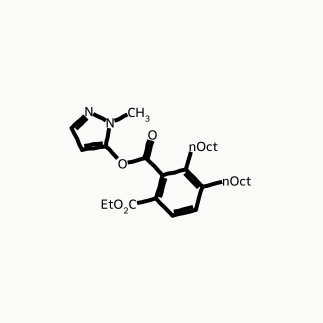 CCCCCCCCc1ccc(C(=O)OCC)c(C(=O)Oc2ccnn2C)c1CCCCCCCC